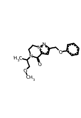 COCC(C)N1CCn2nc(COc3ccccc3)cc2C1=O